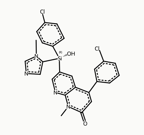 Cn1cncc1[Si@@](O)(c1ccc(Cl)cc1)c1cnc2c(c1)c(-c1cccc(Cl)c1)cc(=O)n2C